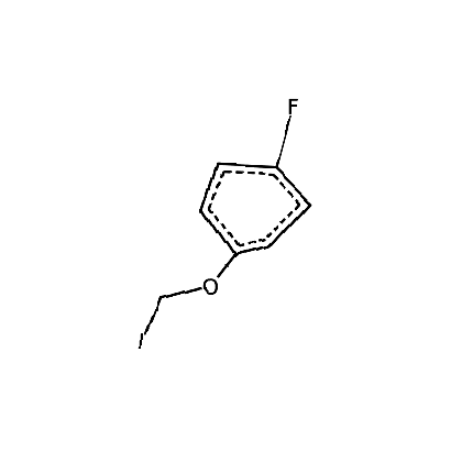 Fc1ccc(OCI)cc1